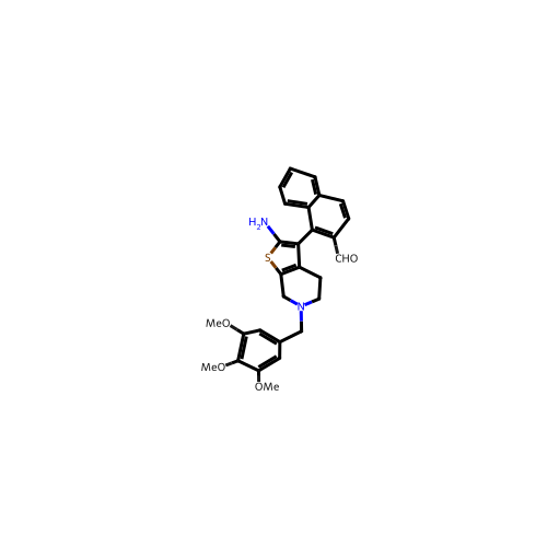 COc1cc(CN2CCc3c(sc(N)c3-c3c(C=O)ccc4ccccc34)C2)cc(OC)c1OC